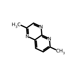 Cc1cnc2nc(C)ccc2n1